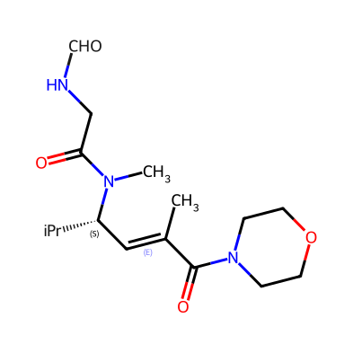 C/C(=C\[C@H](C(C)C)N(C)C(=O)CNC=O)C(=O)N1CCOCC1